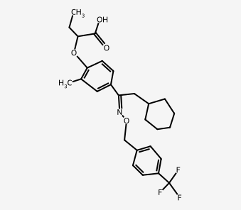 CCC(Oc1ccc(/C(CC2CCCCC2)=N/OCc2ccc(C(F)(F)F)cc2)cc1C)C(=O)O